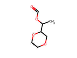 CC(OC=O)C1COCCO1